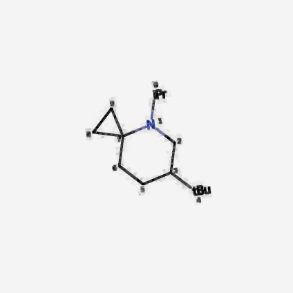 CC(C)N1CC(C(C)(C)C)CCC12CC2